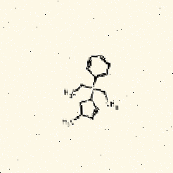 CC[Si](CC)([C]1C=CC(C)=C1)c1ccccc1